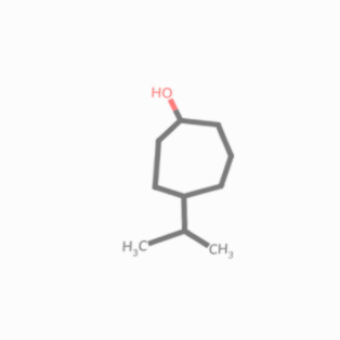 C[C](C)C1CCCC(O)CC1